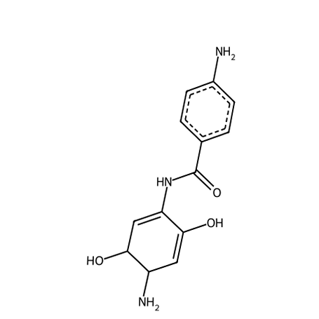 Nc1ccc(C(=O)NC2=CC(O)C(N)C=C2O)cc1